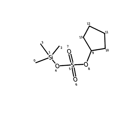 C[Si](C)(C)OS(=O)(=O)OC1CCCC1